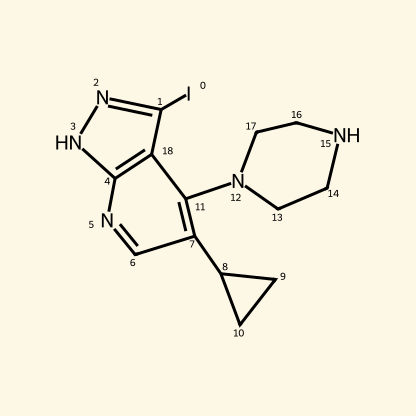 Ic1n[nH]c2ncc(C3CC3)c(N3CCNCC3)c12